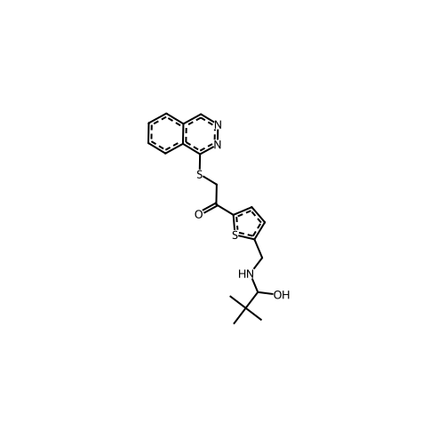 CC(C)(C)C(O)NCc1ccc(C(=O)CSc2nncc3ccccc23)s1